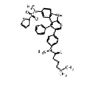 CN(C)CCCC(=O)N(C)c1ccc(-c2cnc3[nH]c4ccc(N(C)S(=O)(=O)C5CC=CS5)cc4c3c2-c2ccccc2)cc1